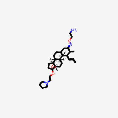 CC=CC1C(C)C(=NOCCN)CC2CC[C@@H]3[C@@H](CC[C@]4(C)C(OCCN5CCCC5)CC[C@@]34O)[C@]21C